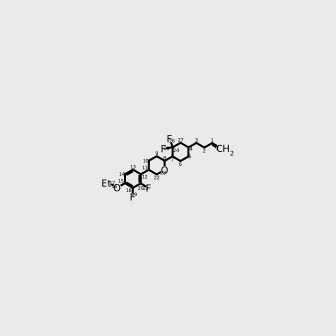 C=CCCC1CCC(C2CCC(c3ccc(OCC)c(F)c3F)CO2)C(F)(F)C1